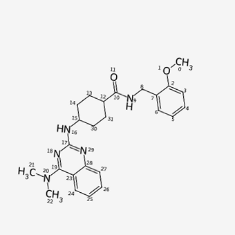 COc1ccccc1CNC(=O)C1CCC(Nc2nc(N(C)C)c3ccccc3n2)CC1